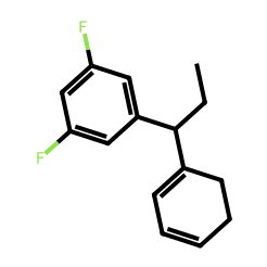 CCC(C1=CC=CCC1)c1cc(F)cc(F)c1